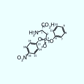 N[C@@H](CP(=O)(Oc1ccccc1)Oc1ccc([N+](=O)[O-])cc1)C(=O)O